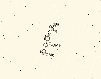 COCOc1cc(-c2cnnc(OC)c2)ccc1-c1ccc(N2CC[C@@H](N(C(=O)OC(C)(C)C)C3CC3)C2)nn1